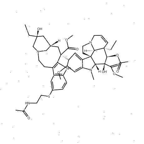 CC[C@]1(O)C[C@H]2CN(CCc3c([nH]c4ccc(SCCNC(C)=O)cc34)[C@@](C(=O)OC)(C3C=C4C(=CC3OC)N(C)[C@H]3[C@@](O)(C(=O)OC)[C@H](OC(C)=O)[C@]5(CC)C=CCN6CC[C@]43[C@@H]65)C2)C1